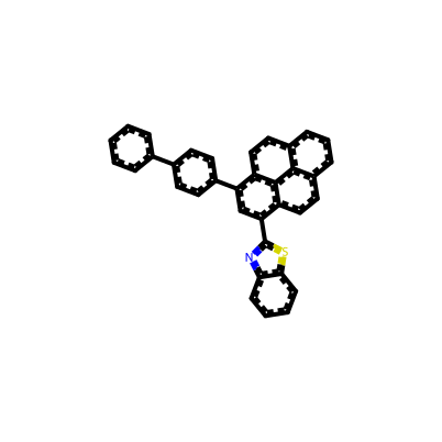 c1ccc(-c2ccc(-c3cc(-c4nc5ccccc5s4)c4ccc5cccc6ccc3c4c65)cc2)cc1